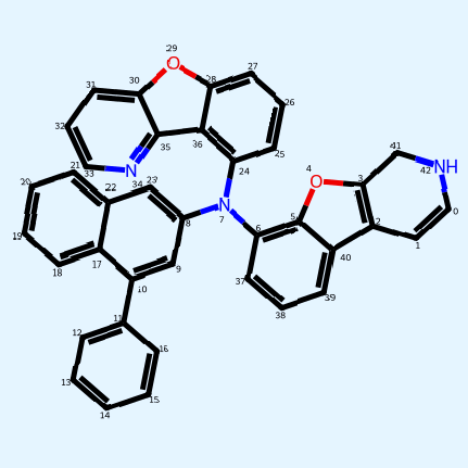 C1=Cc2c(oc3c(N(c4cc(-c5ccccc5)c5ccccc5c4)c4cccc5oc6cccnc6c45)cccc23)CN1